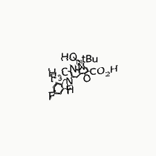 Cc1nc2c(cc1NCc1c(F)cc(F)cc1F)c(=O)c(C(=O)O)cn2[C@H](CO)C(C)(C)C